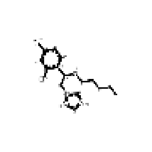 CCCCCOC(Cn1cncn1)c1ccc(Cl)cc1Cl